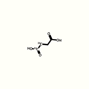 O=C(O)C[13CH2][13C](=O)O